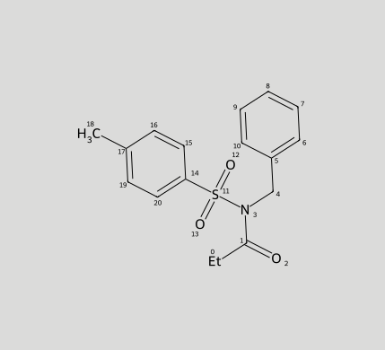 CCC(=O)N(Cc1ccccc1)S(=O)(=O)c1ccc(C)cc1